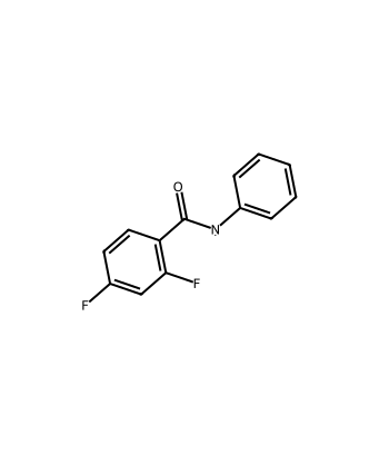 O=C([N]c1ccccc1)c1ccc(F)cc1F